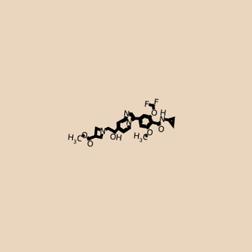 COC(=O)C1CN(CC(O)c2ccn3c(-c4cc(OC)c(C(=O)NC5CC5)c(OC(F)F)c4)cnc3c2)C1